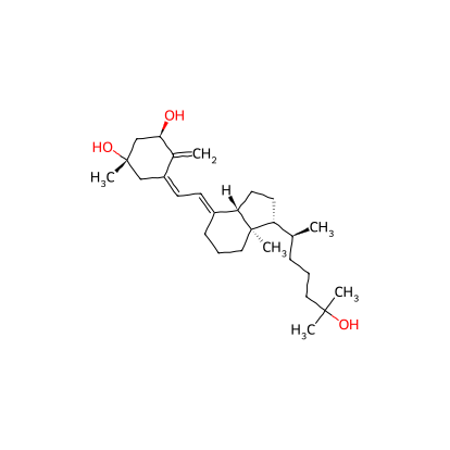 C=C1/C(=C\C=C2/CCC[C@]3(C)[C@@H]([C@@H](C)CCCC(C)(C)O)CC[C@@H]23)C[C@](C)(O)C[C@H]1O